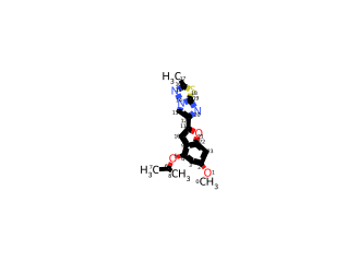 COc1cc(OC(C)C)c2cc(-c3cn4nc(C)sc4n3)oc2c1